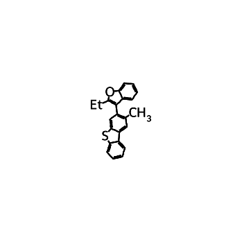 CCc1oc2ccccc2c1-c1cc2sc3ccccc3c2cc1C